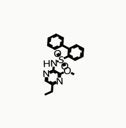 CCc1cnc(NS(=O)(=O)c2ccccc2-c2ccccc2)c(OC)n1